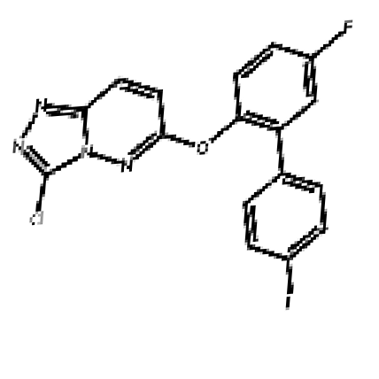 Fc1ccc(-c2cc(F)ccc2Oc2ccc3nnc(Cl)n3n2)cc1